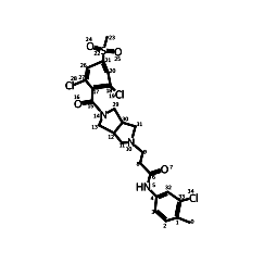 Cc1ccc(NC(=O)CCN2CC3CN(C(=O)c4c(Cl)cc(S(C)(=O)=O)cc4Cl)CC3C2)cc1Cl